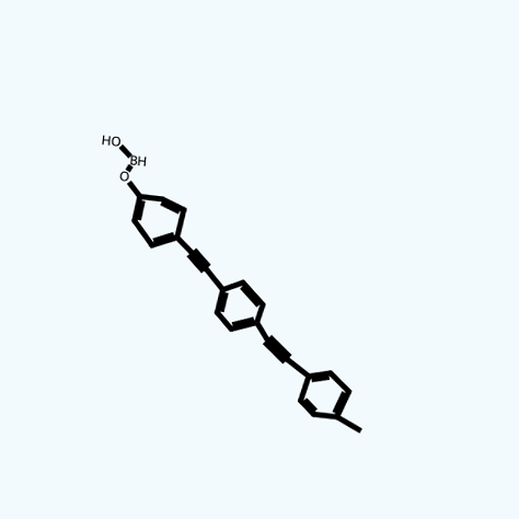 Cc1ccc(C#Cc2ccc(C#Cc3ccc(OBO)cc3)cc2)cc1